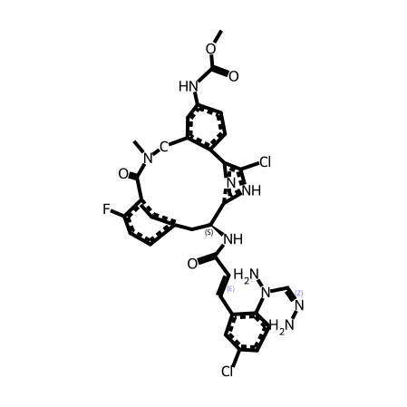 COC(=O)Nc1ccc2c(c1)CN(C)C(=O)c1cc(ccc1F)C[C@H](NC(=O)/C=C/c1cc(Cl)ccc1N(N)/C=N\N)c1nc-2c(Cl)[nH]1